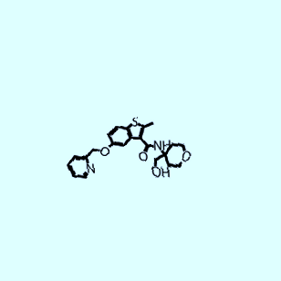 Cc1sc2ccc(OCc3ccccn3)cc2c1C(=O)NC1(CO)CCOCC1